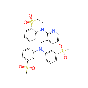 CS(=O)(=O)c1cccc(N(Cc2cccnc2N2CCS(=O)(=O)c3ccccc32)c2cccc(S(C)(=O)=O)c2)c1